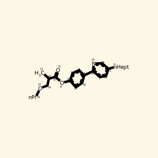 CCCCCCCc1ccc(-c2ccc(OC(=O)C(C)COCCC)cc2)nc1